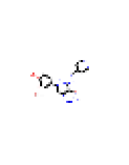 COc1ccc(-c2cc3ncn(C)c(=O)c3c(NCc3ccncc3)n2)cc1OC